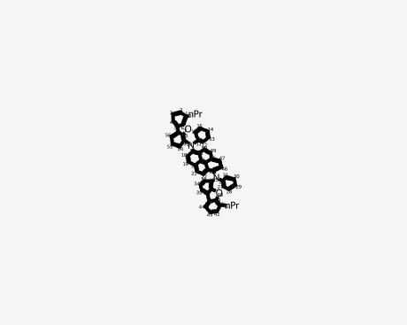 CCCc1cccc2c1oc1c(N(c3ccccc3)c3ccc4ccc5c(N(c6ccccc6)c6cccc7c6oc6c(CCC)cccc67)ccc6ccc3c4c65)cccc12